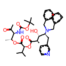 CC(=O)[C@@H](NC(=O)OC(C)(C)C)[C@@H](C)OC(=O)[C@@H](OC(=O)[C@H](C)[C@H](O)[C@H](Cc1cccnc1)N(Cc1ccccc1)Cc1ccccc1)C(C)C